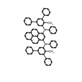 Cc1c(-c2ccccc2)cc(-c2ccccc2)cc1N(c1ccccc1)c1cc(N(c2ccccc2)c2cc(-c3ccccc3)cc(-c3ccccc3)c2C)c2ccc3cccc4ccc1c2c43